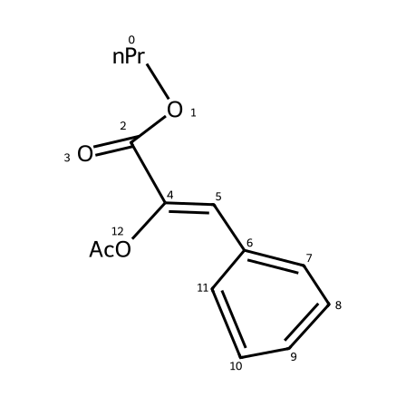 CCCOC(=O)/C(=C/c1ccccc1)OC(C)=O